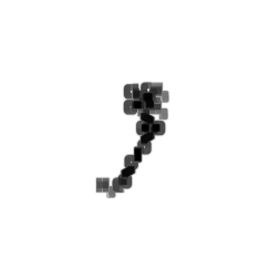 COCCOCCOCCS(=O)(=O)CCN1CC(C)(C)N(Cl)C1=O